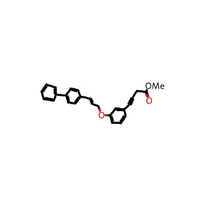 COC(=O)CC#Cc1cccc(OC/C=C/c2ccc(-c3ccccc3)cc2)c1